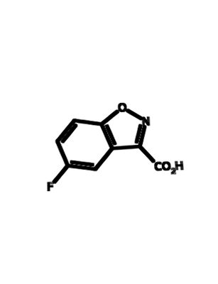 O=C(O)c1noc2ccc(F)cc12